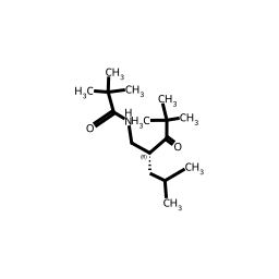 CC(C)C[C@H](CNC(=O)C(C)(C)C)C(=O)C(C)(C)C